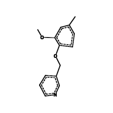 COc1cc(C)ccc1OCc1cccnc1